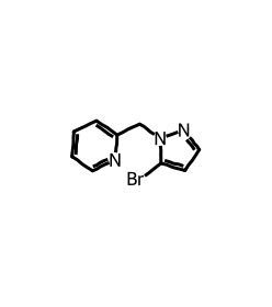 Brc1ccnn1Cc1ccccn1